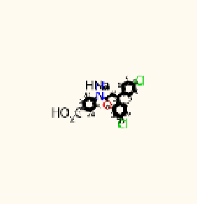 O=C(CC(c1ccc(Cl)cc1)c1ccc(Cl)cc1)Nc1ccc(C(=O)O)cc1.[NaH]